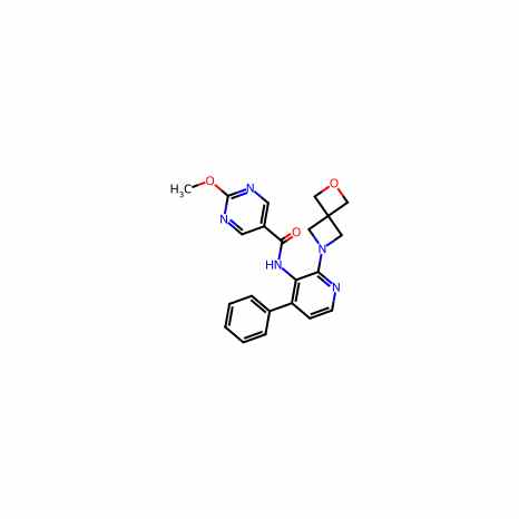 COc1ncc(C(=O)Nc2c(-c3ccccc3)ccnc2N2CC3(COC3)C2)cn1